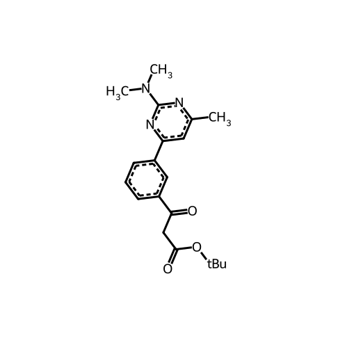 Cc1cc(-c2cccc(C(=O)CC(=O)OC(C)(C)C)c2)nc(N(C)C)n1